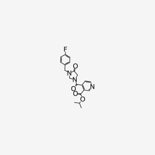 CC(C)OC(=O)c1cnccc1C(=O)N1CC(=O)N(Cc2ccc(F)cc2)C1